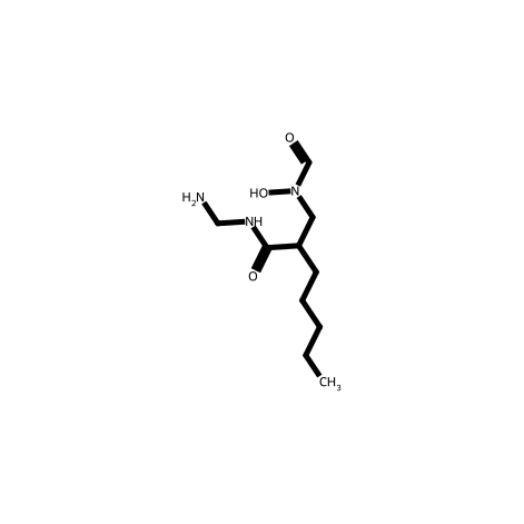 CCCCCC(CN(O)C=O)C(=O)NCN